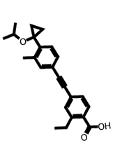 CCc1cc(C#Cc2ccc(C3(OC(C)C)CC3)c(C)c2)ccc1C(=O)O